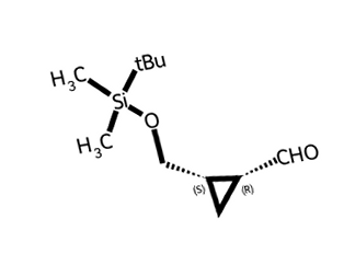 CC(C)(C)[Si](C)(C)OC[C@H]1C[C@H]1C=O